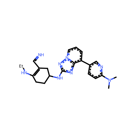 CCNC1=C(C=N)CC(Nc2nc3c(-c4ccc(N(C)C)nc4)cccn3n2)CC1